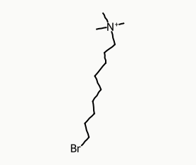 C[N+](C)(C)CCCCCCCCCBr